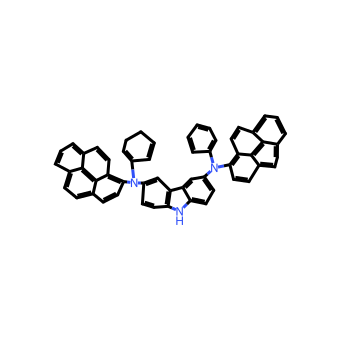 C1=CC(N(c2ccc3[nH]c4ccc(N(c5ccccc5)c5ccc6ccc7cccc8ccc5c6c78)cc4c3c2)c2ccc3ccc4cccc5ccc2c3c45)=CCC1